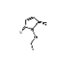 CCON1C(=O)C=CC1=O